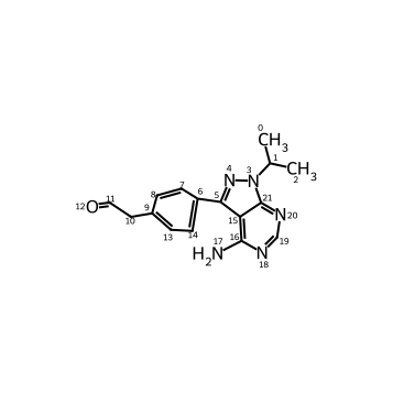 CC(C)n1nc(-c2ccc(CC=O)cc2)c2c(N)ncnc21